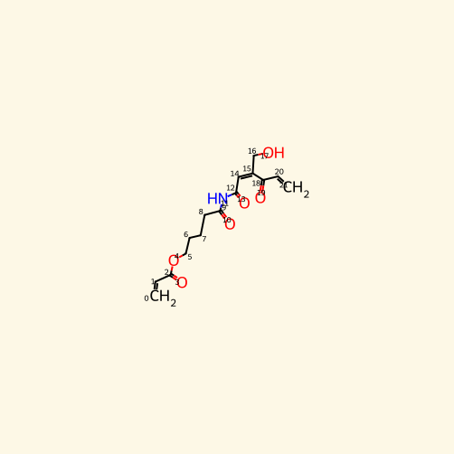 C=CC(=O)OCCCCC(=O)NC(=O)C=C(CO)C(=O)C=C